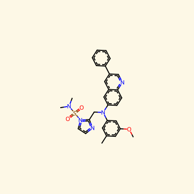 COc1cc(C)cc(N(Cc2nccn2S(=O)(=O)N(C)C)c2ccc3ncc(-c4ccccc4)cc3c2)c1